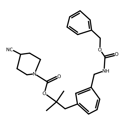 CC(C)(Cc1cccc(CNC(=O)OCc2ccccc2)c1)OC(=O)N1CCC(C#N)CC1